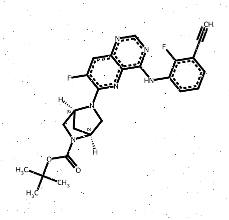 C#Cc1cccc(Nc2ncnc3cc(F)c(N4C[C@@H]5C[C@H]4CN5C(=O)OC(C)(C)C)nc23)c1F